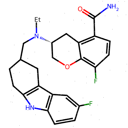 CCN(CC1CCc2[nH]c3ccc(F)cc3c2C1)[C@H]1COc2c(F)ccc(C(N)=O)c2C1